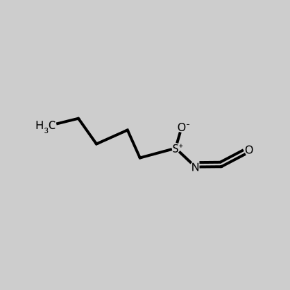 CCCCC[S+]([O-])N=C=O